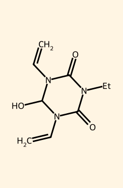 C=CN1C(=O)N(CC)C(=O)N(C=C)C1O